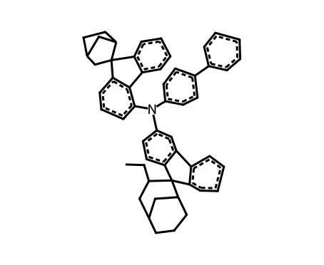 CCC1CC2CCCC(C2)C12c1ccccc1-c1cc(N(c3ccc(-c4ccccc4)cc3)c3cccc4c3-c3ccccc3C43CC4CCC3C4)ccc12